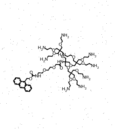 NCCOCC(COCCN)(COCCN)COCC(COCC(COCCN)(COCCN)COCCN)(COCC(COCCN)(COCCN)COCCN)NC(=O)COCCOCCNC(=O)OCc1c2ccccc2cc2ccccc12